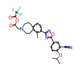 Cc1c(-c2noc(-c3ccc(OC(C)C)c(C#N)c3)n2)ccc2c1CCN(CC(=O)OC(=O)C(F)(F)F)CC2